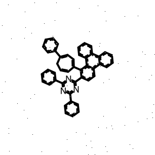 C1=CC(c2c(-c3nc(-c4ccccc4)nc(-c4ccccc4)n3)ccc3c4ccccc4c4ccccc4c23)=CC=C(c2ccccc2)C1